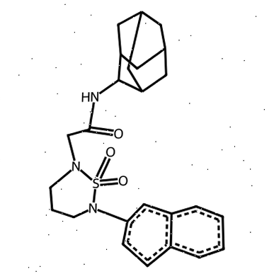 O=C(CN1CCCN(c2ccc3ccccc3c2)S1(=O)=O)NC1C2CC3CC(C2)CC1C3